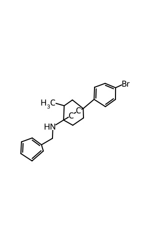 CC1CC2(c3ccc(Br)cc3)CCC1(NCc1ccccc1)CC2